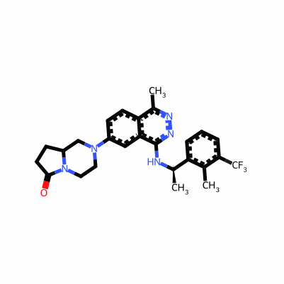 Cc1c([C@@H](C)Nc2nnc(C)c3ccc(N4CCN5C(=O)CCC5C4)cc23)cccc1C(F)(F)F